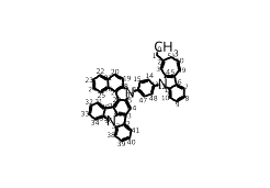 CCC1=Cc2c(c3ccccc3n2-c2ccc(-n3c4ccc5ccccc5c4c4c5c6ccccc6n6c7ccccc7c(cc43)c56)cc2)C=CC1